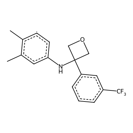 Cc1[c]cc(NC2(c3cccc(C(F)(F)F)c3)COC2)cc1C